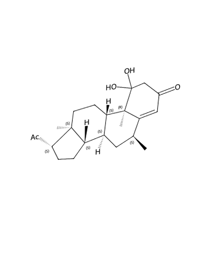 CC(=O)[C@H]1CC[C@H]2[C@@H]3C[C@H](C)C4=CC(=O)CC(O)(O)[C@]4(C)[C@H]3CC[C@]12C